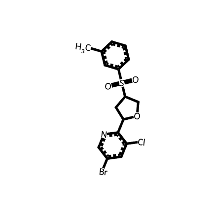 Cc1cccc(S(=O)(=O)C2COC(c3ncc(Br)cc3Cl)C2)c1